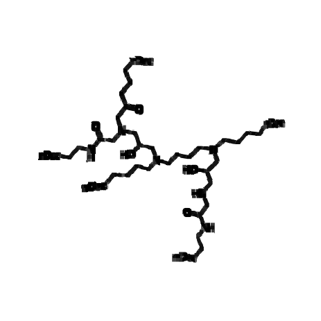 CCCCCCCCCCCCCCN(CCCCN(CCCCCCCCCCCCCC)CC(O)CN(CC(=O)CCCCCCCCCCCCC)CC(=O)NCCCCCCCCCCCC)CC(O)CNCC(=O)NCCCCCCCCCCCC